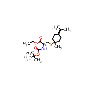 CCOC(=O)[C@H](CSC1(C)CCC(=C(C)C)CC1)NC(=O)OC(C)(C)C